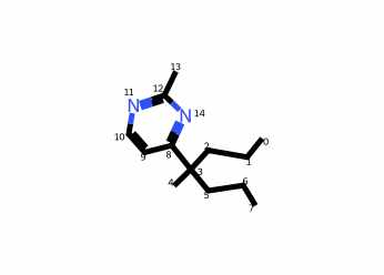 CCCC(C)(CCC)c1ccnc(C)n1